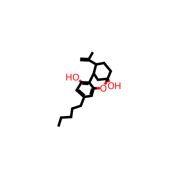 C=C(C)C1CCC2(O)CC1c1c(O)cc(CCCCC)cc1O2